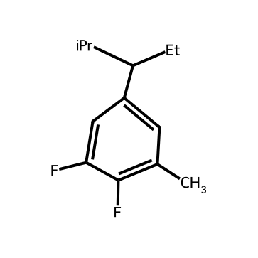 CCC(c1cc(C)c(F)c(F)c1)C(C)C